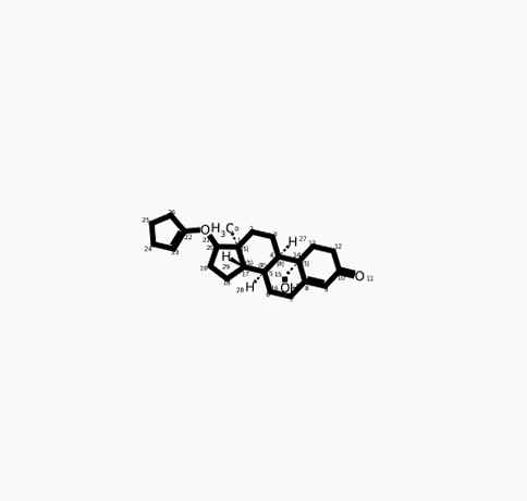 C[C@]12CC[C@@H]3[C@@H](CCC4=CC(=O)CC[C@@]43CO)[C@@H]1CCC2OC1=CCCC1